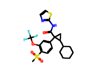 CS(=O)(=O)c1ccc(C2(C(=O)Nc3nccs3)CC2C2CCCCC2)cc1OC(F)(F)F